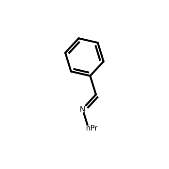 [CH2]CCN=Cc1ccccc1